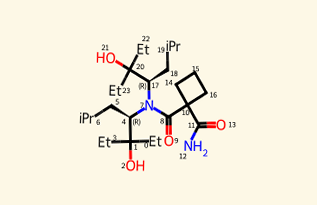 CCC(O)(CC)[C@@H](CC(C)C)N(C(=O)C1(C(N)=O)CCC1)[C@H](CC(C)C)C(O)(CC)CC